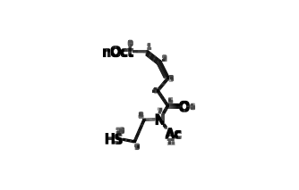 CCCCCCCCC=C=CCC(=O)N(CCS)C(C)=O